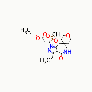 CCCOC(=O)CC(n1nc(CC)c2c1CC1(CCOCC1)CNC2=O)S(C)(=O)=O